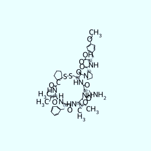 CCOc1ccc(C[C@H](NC(=O)[C@@H]2CCCN2C(=O)[C@@H]2CSSC3(CCCCC3)CC(=O)N[C@H]([C@H](C)CC)C(=O)N[C@@H](Cc3ccccc3)C(=O)N[C@@H]([C@@H](C)CC)C(=O)N[C@@H](CC(N)=O)C(=O)N2)C(=O)O)cc1